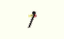 CCCCCCCCCCCCC(S)C(=O)c1ccccc1